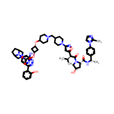 Cc1nccn1-c1ccc([C@H](C)NC(=O)[C@@H]2C[C@@H](O)CN2C(=O)[C@H](c2cc(N3CCC(CN4CCC(O[C@H]5C[C@H](Oc6cc(N7C8CCC7CN(c7cc(-c9ccccc9O)nnc7N)C8)ccn6)C5)CC4)CC3)no2)C(C)C)cc1